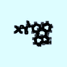 CN(C(=O)OC(C)(C)C)[C@H]1CCCN(c2ccnc3[nH]cc(-c4cnccn4)c23)C1